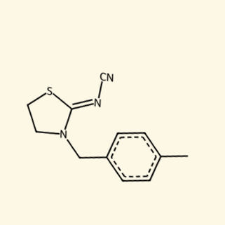 Cc1ccc(CN2CCSC2=NC#N)cc1